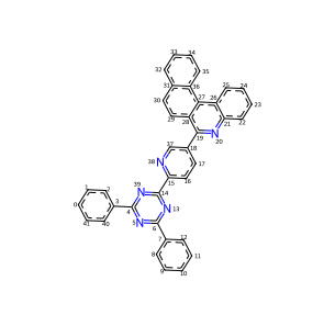 c1ccc(-c2nc(-c3ccccc3)nc(-c3ccc(-c4nc5ccccc5c5c4ccc4ccccc45)cn3)n2)cc1